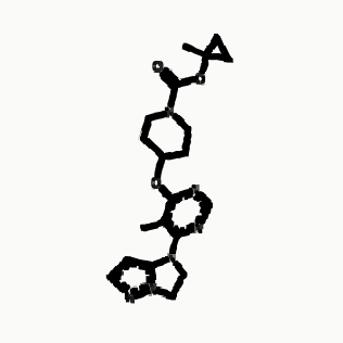 Cc1c(OC2CCN(C(=O)OC3(C)CC3)CC2)ncnc1N1CCn2nccc21